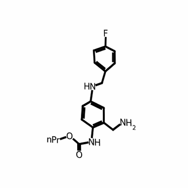 CCCOC(=O)Nc1ccc(NCc2ccc(F)cc2)cc1CN